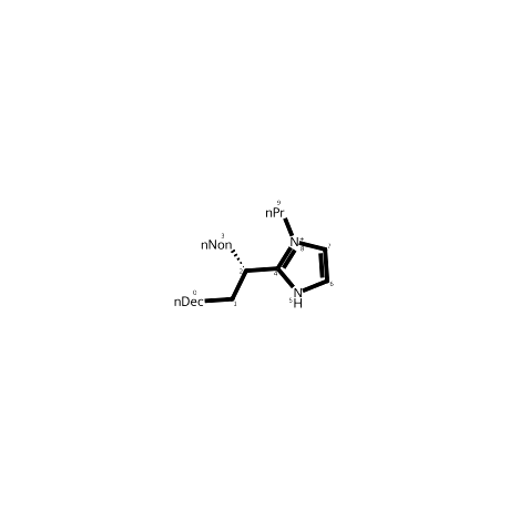 CCCCCCCCCCC[C@H](CCCCCCCCC)c1[nH]cc[n+]1CCC